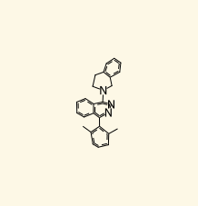 Cc1cccc(C)c1-c1nnc(N2CCc3ccccc3C2)c2ccccc12